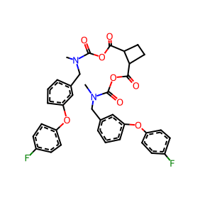 CN(Cc1cccc(Oc2ccc(F)cc2)c1)C(=O)OC(=O)C1CCC1C(=O)OC(=O)N(C)Cc1cccc(Oc2ccc(F)cc2)c1